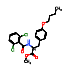 CCCCOc1ccc(C[C@H](NC(=O)c2c(Cl)cccc2Cl)C(=O)OC)cc1